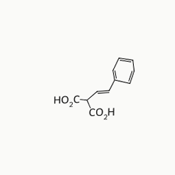 O=C(O)C(C=Cc1ccccc1)C(=O)O